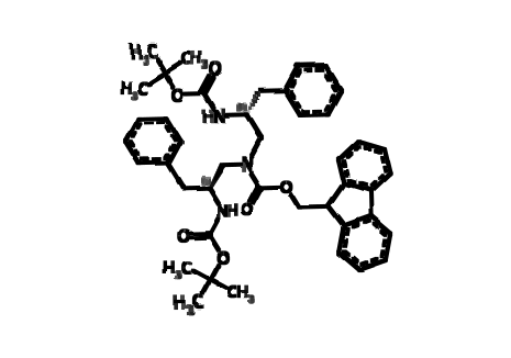 CC(C)(C)OC(=O)N[C@H](Cc1ccccc1)CN(C[C@H](Cc1ccccc1)NC(=O)OC(C)(C)C)C(=O)OCC1c2ccccc2-c2ccccc21